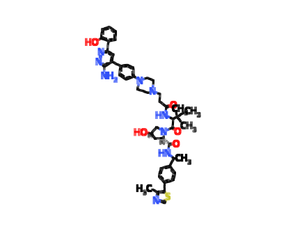 Cc1ncsc1-c1ccc(C(C)NC(=O)[C@@H]2C[C@@H](O)CN2C(=O)C(NC(=O)CCN2CCN(c3ccc(-c4cc(-c5ccccc5O)nnc4N)cc3)CC2)C(C)(C)C)cc1